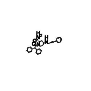 NC(=O)[C@@H]1C[C@H](NCC#Cc2ccccc2)CCN1C(=O)C(c1ccccc1)c1ccccc1